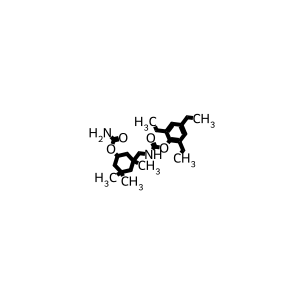 CCc1cc(CC)c(OC(=O)NCC2(C)CC(OC(N)=O)CC(C)(C)C2)c(CC)c1